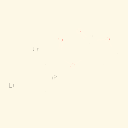 CCC(C)(C)CC(CC)(C(=O)OC1CCOC1=O)C(C)C